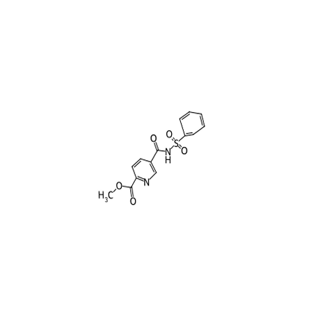 COC(=O)c1ccc(C(=O)NS(=O)(=O)c2ccccc2)cn1